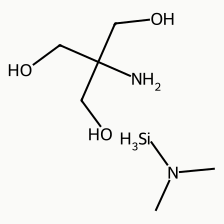 CN(C)[SiH3].NC(CO)(CO)CO